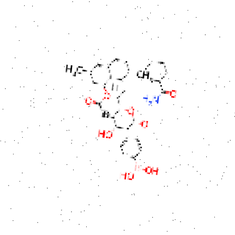 CC[C@H](C)C(=O)O[C@H]1C[C@@H](C)C=C2C=C[C@H](C)[C@H](CC[C@H]3C[C@@H](O)CC(=O)O3)[C@H]21.NC(=O)C1CCCCC1.OB(O)c1ccccc1